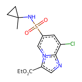 CCOC(=O)c1cnc2c(Cl)cc(S(=O)(=O)NC3(C)CC3)cn12